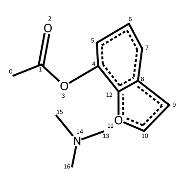 CC(=O)Oc1cccc2ccoc12.CN(C)C